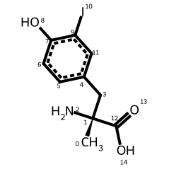 C[C@@](N)(Cc1ccc(O)c(I)c1)C(=O)O